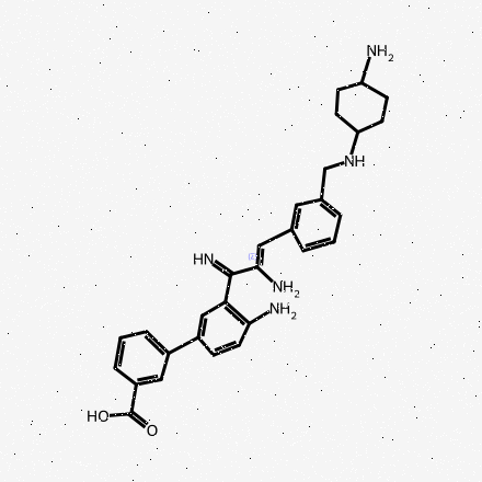 N=C(/C(N)=C/c1cccc(CNC2CCC(N)CC2)c1)c1cc(-c2cccc(C(=O)O)c2)ccc1N